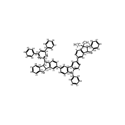 CC1(C)c2ccc(-c3ccc4c(c3)c3cc(-c5ccc6c(c5)C5Sc7ccccc7C5N6c5nc(-c6ccccc6)cc(-c6ccccc6)n5)ccc3n4-c3ccccc3)cc2C2Sc3ccccc3C21